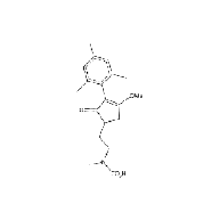 COC1=C(c2c(C)cc(C)cc2C)C(=O)C(CCN(C)C(=O)O)C1